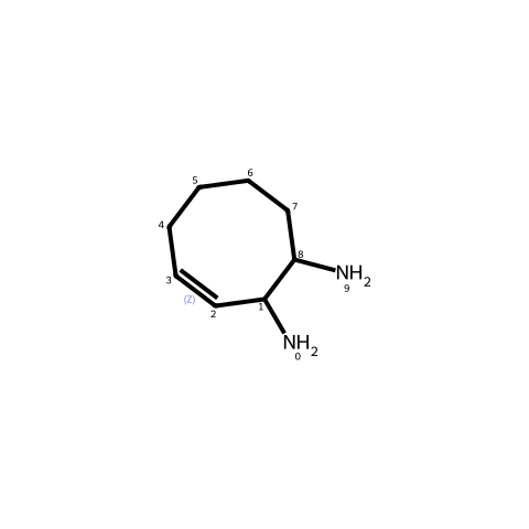 NC1/C=C\CCCCC1N